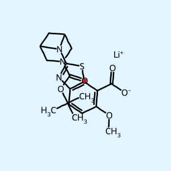 COc1ccc2nc(N3C4CC3CN(C(=O)OC(C)(C)C)C4)sc2c1C(=O)[O-].[Li+]